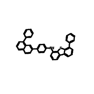 c1ccc(-c2cccc3ccc(-c4ccc(Nc5cccc6c5sc5c(-c7ccccc7)cccc56)cc4)cc23)cc1